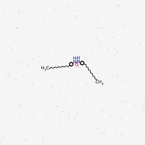 CCCCCCCCCCCCc1ccc(NC(=O)Nc2ccc(CCCCCCCCCCCC)cc2)cc1